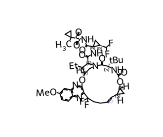 CC[C@@H]1[C@@H]2CN(C(=O)[C@H](C(C)(C)C)NC(=O)O[C@@H]3C[C@H]3/C=C/CCC(F)(F)c3nc4ccc(OC)cc4nc3O2)[C@@H]1C(=O)N[C@]1(C(=O)NS(=O)(=O)C2(C)CC2)C[C@H]1C(F)F